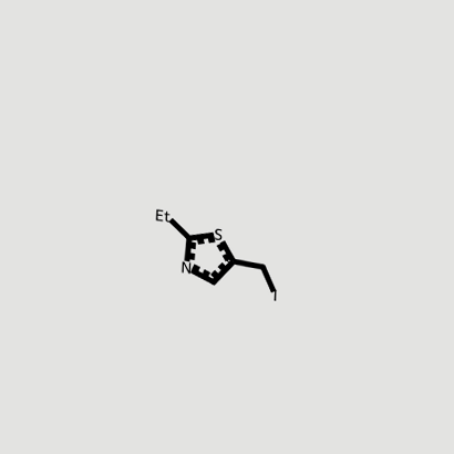 CCc1ncc(CI)s1